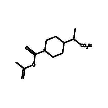 C=C(C)OC(=O)N1CCC(C(C)C(=O)OCC)CC1